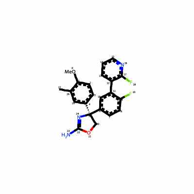 COc1ccc([C@]2(c3ccc(F)c(-c4cccnc4F)c3)COC(N)=N2)cc1C